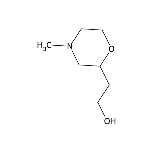 CN1CCOC(CCO)C1